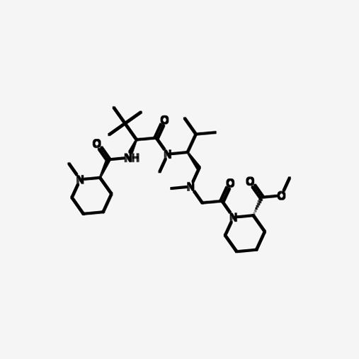 COC(=O)[C@@H]1CCCCN1C(=O)CN(C)C[C@H](C(C)C)N(C)C(=O)[C@@H](NC(=O)[C@H]1CCCCN1C)C(C)(C)C